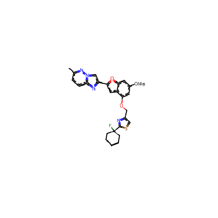 COc1cc(OCc2csc(C3(F)CCCCC3)n2)c2cc(-c3cn4nc(C)ccc4n3)oc2c1